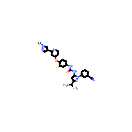 CC(C)c1cc(NC(=O)Nc2ccc(Oc3ccnc(-c4cnn(C)c4)c3)c(F)c2)n(-c2cccc(C#N)c2)n1